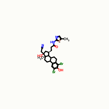 Cc1cnc(NC(=O)CC[C@@H]2C[C@@](O)(CC#N)[C@@]3(C)CCC4c5cc(Br)c(O)c(Br)c5CCC4C23)s1